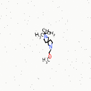 COCCN1CCC2(CCN(C(C)(C)C)C2)C1